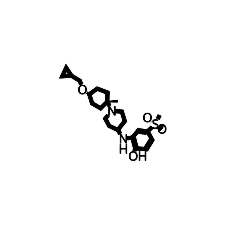 CS(=O)(=O)c1ccc(O)c(NC2CCN([C@]3(C)CC[C@@H](OCC4CC4)CC3)CC2)c1